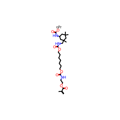 C=C(C)C(=O)OCCNC(=O)OCCCCCCCOC(=O)NCC1(C)CC(NC(=O)OCCC)CC(C)(C)C1